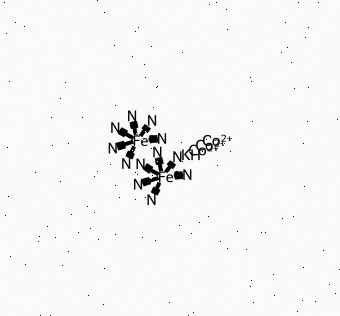 N#[C][Fe-3]([C]#N)([C]#N)([C]#N)([C]#N)[C]#N.N#[C][Fe-3]([C]#N)([C]#N)([C]#N)([C]#N)[C]#N.[Co+2].[Co+2].[Co+2].[KH]